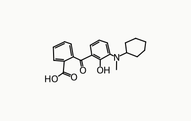 CN(c1cccc(C(=O)c2ccccc2C(=O)O)c1O)C1CCCCC1